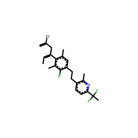 C=C(CC)C/C(=C/C)c1c(C)cc(CCc2ccc(C(C)(F)F)nc2C)c(F)c1C